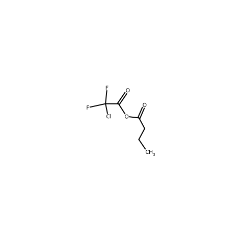 CCCC(=O)OC(=O)C(F)(F)Cl